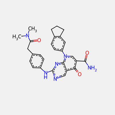 CN(C)C(=O)Cc1ccc(Nc2ncc3c(=O)c(C(N)=O)cn(-c4ccc5c(c4)CCC5)c3n2)cc1